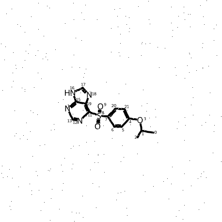 CC(C)Oc1ccc(S(=O)(=O)c2ncnc3[nH]cnc23)cc1